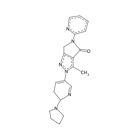 Cc1c2c(nn1C1=CCC(N3CCCC3)N=C1)CN(c1ccccn1)C2=O